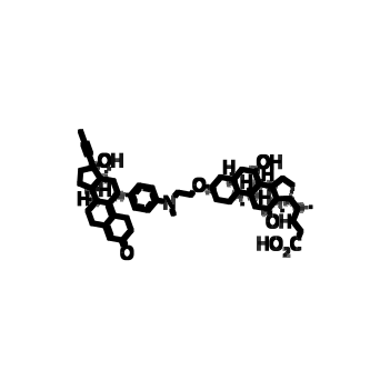 CC#C[C@]1(O)CC[C@H]2[C@@H]3CCC4=CC(=O)CCC4=C3[C@@H](c3ccc(N(C)CCO[C@H]4CC[C@@]5(C)[C@@H](C4)C[C@@H](O)[C@@H]4[C@@H]5C[C@H](O)[C@]5(C)[C@@H]([C@H](C)CCC(=O)O)CC[C@@H]45)cc3)C[C@@]21C